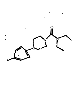 CCN(CC)C(=O)N1CCN(c2ccc(F)cc2)CC1